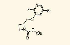 CC(C)(C)OC(=O)N1CCC1COc1cc(Br)cnc1F